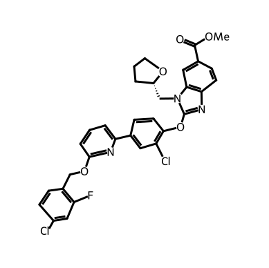 COC(=O)c1ccc2nc(Oc3ccc(-c4cccc(OCc5ccc(Cl)cc5F)n4)cc3Cl)n(C[C@@H]3CCCO3)c2c1